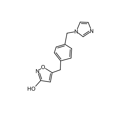 Oc1cc(Cc2ccc(Cn3ccnc3)cc2)on1